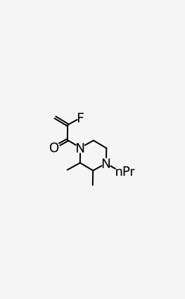 C=C(F)C(=O)N1CCN(CCC)C(C)C1C